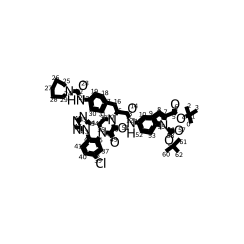 CC(C)(C)OC(=O)c1cc2cc(NC(=O)C(Cc3ccc(NC(=O)N4CCCCC4)cc3)N3CCN(c4cc(Cl)ccc4-n4cnnn4)C(=O)C3=O)ccc2n1C(=O)OC(C)(C)C